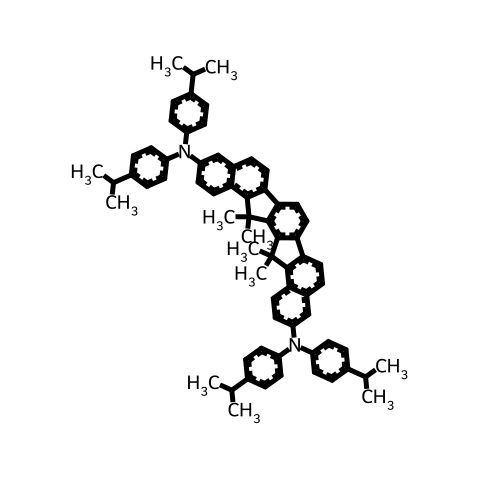 CC(C)c1ccc(N(c2ccc(C(C)C)cc2)c2ccc3c4c(ccc3c2)-c2ccc3c(c2C4(C)C)C(C)(C)c2c-3ccc3cc(N(c4ccc(C(C)C)cc4)c4ccc(C(C)C)cc4)ccc23)cc1